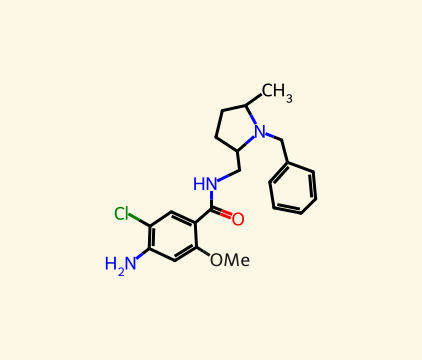 COc1cc(N)c(Cl)cc1C(=O)NCC1CCC(C)N1Cc1ccccc1